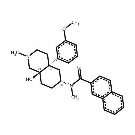 COc1cccc([C@@]23CCN(C)C[C@@]2(O)CC[C@@H](N(C)C(=O)c2ccc4ccccc4c2)C3)c1